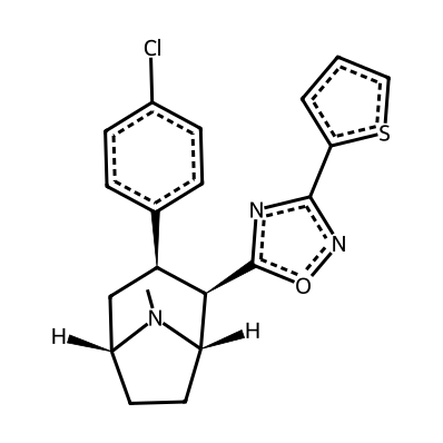 CN1[C@@H]2CC[C@H]1[C@H](c1nc(-c3cccs3)no1)[C@H](c1ccc(Cl)cc1)C2